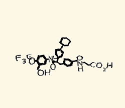 O=C(O)CCNC(=O)c1ccc(CC(C(=O)Nc2ccc(OC(F)(F)F)c(CO)c2)c2ccc(C3CCCCC3)cc2)cc1